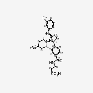 CC(C)(C)C1CCC(N2C(=Nc3cccc(F)c3)OCC2c2ccc(C(=O)NCCC(=O)O)cc2)CC1